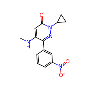 CNc1cc(=O)n(C2CC2)nc1-c1cccc([N+](=O)[O-])c1